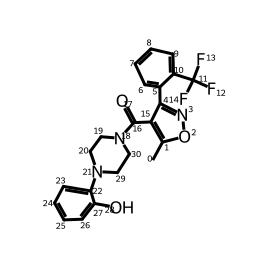 Cc1onc(-c2ccccc2C(F)(F)F)c1C(=O)N1CCN(c2ccccc2O)CC1